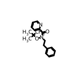 CC(C)(C)ON(CCc1ccccc1)C(=O)c1ccccn1